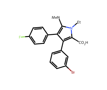 CCn1c(NC)c(-c2ccc(F)cc2)c(-c2cccc(Br)c2)c1C(=O)O